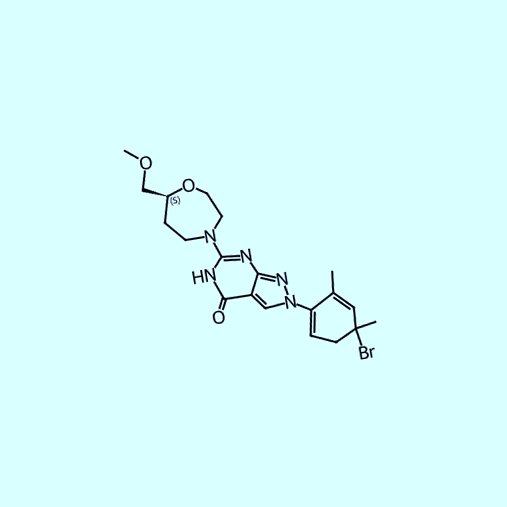 COC[C@@H]1CCN(c2nc3nn(C4=CCC(C)(Br)C=C4C)cc3c(=O)[nH]2)CCO1